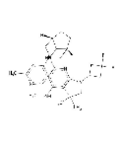 CNc1nc(NC2[C@@H]3CC[C@H]2CN(c2cc(C)ncn2)C3)nc2c1C(C)(C)CN2C1CC(F)(F)C1